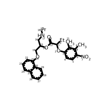 CCC(Oc1ccc([N+](=O)[O-])c(C)c1C)C(=O)OC(CNC(C)C)COc1cccc2ccccc12